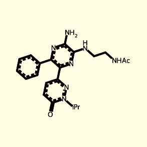 CC(=O)NCCNc1nc(-c2ccc(=O)n(C(C)C)n2)c(-c2ccccc2)nc1N